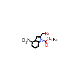 CC(C)(C)OC(=O)n1c(CBr)cc2c([N+](=O)[O-])cccc21